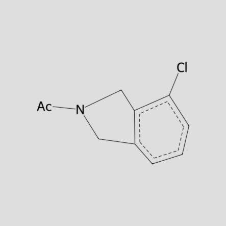 CC(=O)N1Cc2cccc(Cl)c2C1